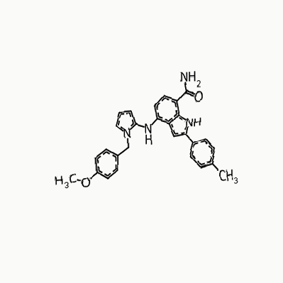 COc1ccc(Cn2cccc2Nc2ccc(C(N)=O)c3[nH]c(-c4ccc(C)cc4)cc23)cc1